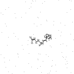 C=CC(C)(O)/C=C/C=C(/C)CCC=C(C)C